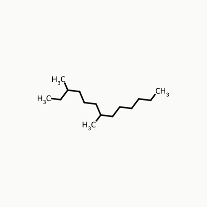 CCCCCCC(C)CCCC(C)CC